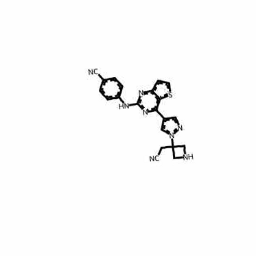 N#CCC1(n2cc(-c3nc(Nc4ccc(C#N)cc4)nc4ccsc34)cn2)CNC1